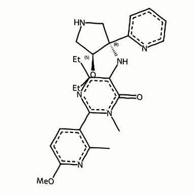 CCO[C@H]1CNC[C@@]1(Nc1c(CC)nc(-c2ccc(OC)nc2C)n(C)c1=O)c1ccccn1